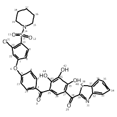 O=C(c1ccc(Oc2ccc(S(=O)(=O)N3CCCCC3)c(Cl)c2)cc1)c1cc(C(=O)c2nc3ccccc3s2)c(O)c(O)c1O